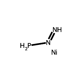 N=NP.[Ni]